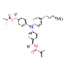 C=C(C)C(=O)OC(CC)c1ccc(N(c2ccc(CCCC=O)cc2)c2ccc(C(CC)OC(=O)C(=C)C)cc2)cc1